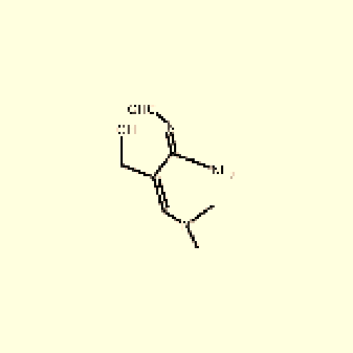 CN(C)/C=C(CO)\C(N)=N/C=O